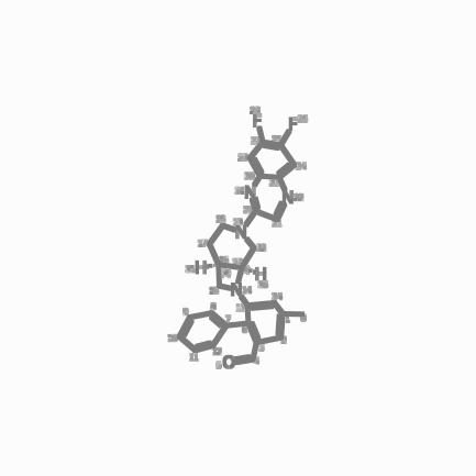 Cc1cc(C=O)c(-c2ccccc2)c(N2C[C@H]3CCN(c4cnc5cc(F)c(F)cc5n4)C[C@H]32)c1